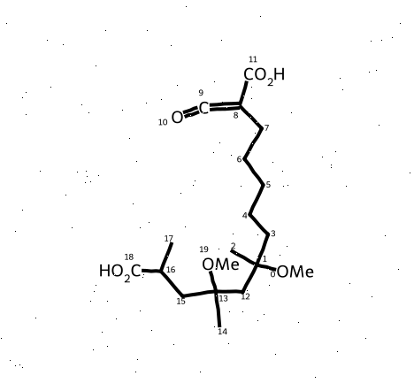 COC(C)(CCCCCC(=C=O)C(=O)O)CC(C)(CC(C)C(=O)O)OC